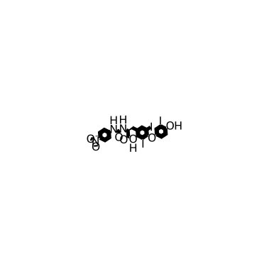 O=C(Nc1ccc([N+](=O)[O-])cc1)N[C@@H](Cc1cc(I)c(Oc2ccc(O)c(I)c2)c(I)c1)C(=O)O